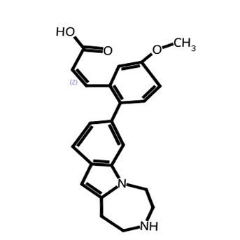 COc1ccc(-c2ccc3cc4n(c3c2)CCNCC4)c(/C=C\C(=O)O)c1